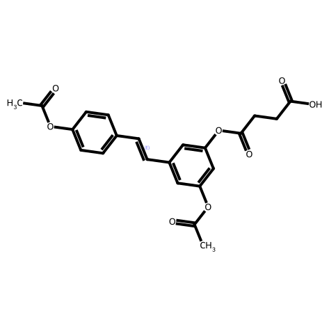 CC(=O)Oc1ccc(/C=C/c2cc(OC(C)=O)cc(OC(=O)CCC(=O)O)c2)cc1